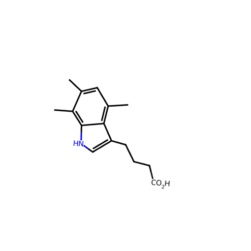 Cc1cc(C)c2c(CCCC(=O)O)c[nH]c2c1C